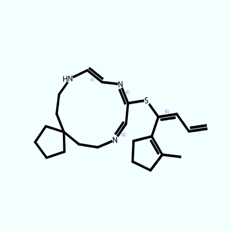 C=C/C=C(/SC1=N/C=C/NCCC2(CCCC2)CC/N=C\1)C1=C(C)CCC1